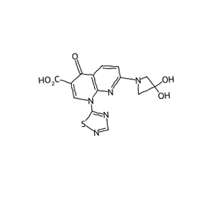 O=C(O)c1cn(-c2ncns2)c2nc(N3CC(O)(O)C3)ccc2c1=O